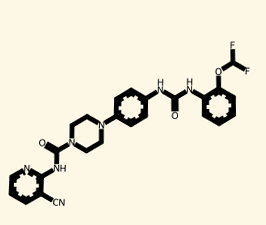 N#Cc1cccnc1NC(=O)N1CCN(c2ccc(NC(=O)Nc3ccccc3OC(F)F)cc2)CC1